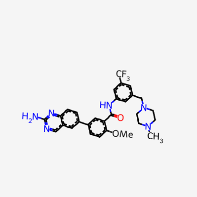 COc1ccc(-c2ccc3nc(N)ncc3c2)cc1C(=O)Nc1cc(CN2CCN(C)CC2)cc(C(F)(F)F)c1